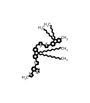 CCCCCCCCCCCCC1(CCCCCCCCCCCC)c2cc(Cc3ccc(-c4ccc(-c5ccc6c(c5)C(CCCCCCCC)(CCCCCCCC)c5cc(C)ccc5-6)s4)s3)ccc2-c2ccc(-c3ccc(-c4ccc(-c5ccc(C)s5)c5nsnc45)s3)cc21